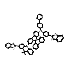 CC1(C)c2ccccc2N(c2ccc3c(c2)C2(c4ccccc4-c4ccccc42)c2cc(N(c4ccc(-c5ccccc5)cc4)c4ccc(-c5nc6ccccc6s5)cc4)ccc2-3)c2ccc(-c3nc4ccccc4s3)cc21